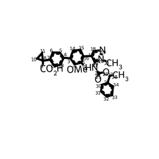 COc1cc(-c2ccc(C3(C(=O)O)CC3)cc2)ccc1-c1cnn(C)c1NC(=O)OC(C)c1ccccc1